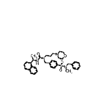 CC(NC(=O)N(CCCN1CCOCC1)Cc1ccc(S(=O)(=O)N(C)Cc2ccccc2)cc1)c1cccc2ccccc12